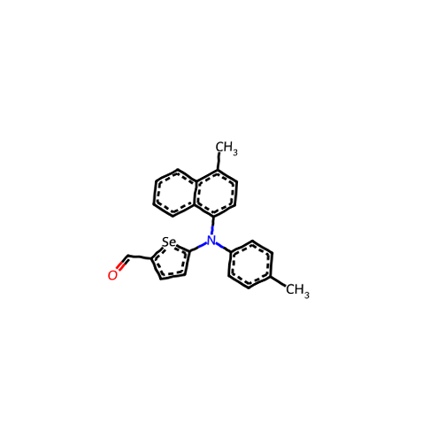 Cc1ccc(N(c2ccc(C=O)[se]2)c2ccc(C)c3ccccc23)cc1